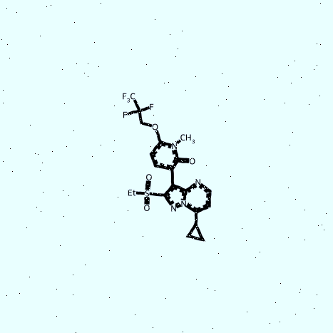 CCS(=O)(=O)c1nn2c(C3CC3)ccnc2c1-c1ccc(OCC(F)(F)C(F)(F)F)n(C)c1=O